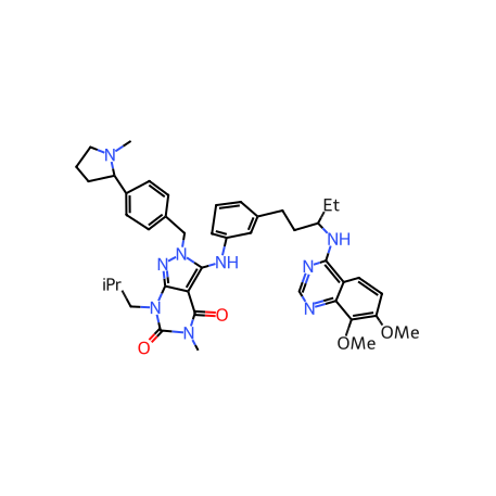 CCC(CCc1cccc(Nc2c3c(=O)n(C)c(=O)n(CC(C)C)c3nn2Cc2ccc(C3CCCN3C)cc2)c1)Nc1ncnc2c(OC)c(OC)ccc12